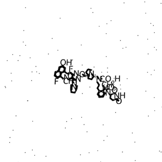 C#Cc1c(F)ccc2cc(O)cc(-c3ncc4c(N5CC6CCC(C5)N6)nc(OC[C@@]56CCCN5[C@H](CN(CCCc5cccc7c5n(C)c(=O)n7C5CCC(=O)NC5=O)C(=O)O)CC6)nc4c3F)c12